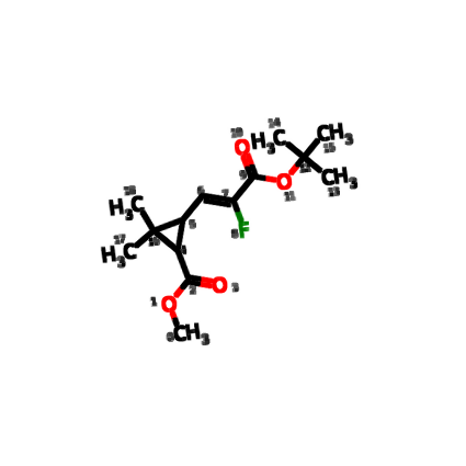 COC(=O)C1C(C=C(F)C(=O)OC(C)(C)C)C1(C)C